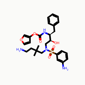 CC(C)(CCN)CN(C[C@H](O)[C@H](Cc1ccccc1)NC(=O)Oc1ccoc1)S(=O)(=O)c1cccc(N)c1